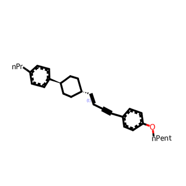 CCCCCOc1ccc(C#C/C=C/[C@H]2CC[C@H](c3ccc(CCC)cc3)CC2)cc1